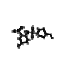 CCc1ccc(S(=O)(=O)Nc2ccc(Br)cc2[N+](=O)[O-])cc1